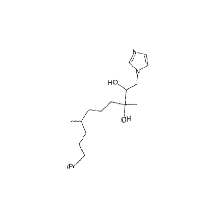 CC(C)CCCC(C)CCCC(C)(O)C(O)Cn1ccnc1